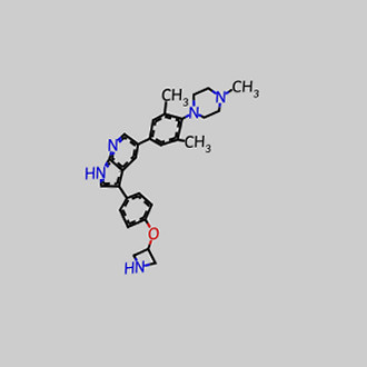 Cc1cc(-c2cnc3[nH]cc(-c4ccc(OC5CNC5)cc4)c3c2)cc(C)c1N1CCN(C)CC1